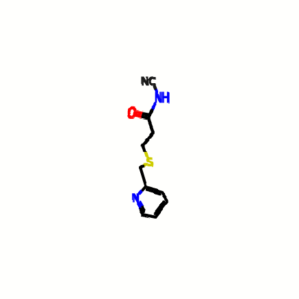 N#CNC(=O)CCSCc1ccccn1